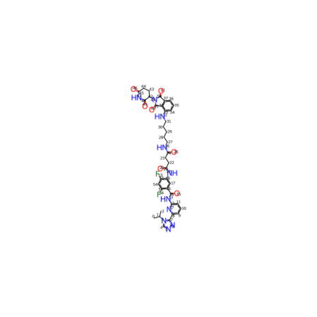 CC(C)n1cnnc1-c1cccc(NC(=O)c2cc(NC(=O)CCC(=O)NCCCCCNc3cccc4c3C(=O)N(C3CCC(=O)NC3=O)C4=O)c(F)cc2F)n1